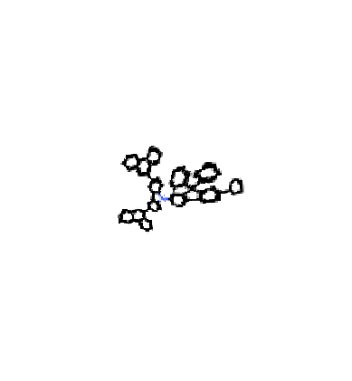 c1ccc(-c2ccc3c(c2)C(c2ccccc2)(c2ccccc2)c2cc(-n4c5ccc(-c6cc7ccccc7c7ccccc67)cc5c5cc(-c6cc7ccccc7c7ccccc67)ccc54)ccc2-3)cc1